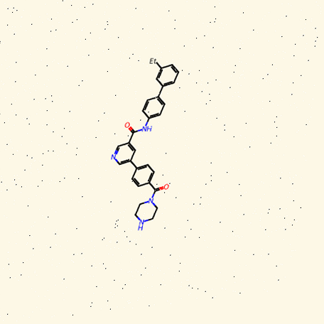 CCc1cccc(-c2ccc(NC(=O)c3cncc(-c4ccc(C(=O)N5CCNCC5)cc4)c3)cc2)c1